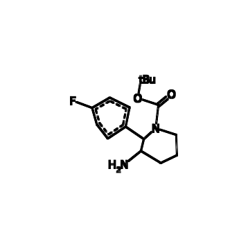 CC(C)(C)OC(=O)N1CCCC(N)C1c1ccc(F)cc1